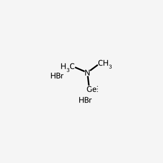 Br.Br.C[N](C)[Ge]